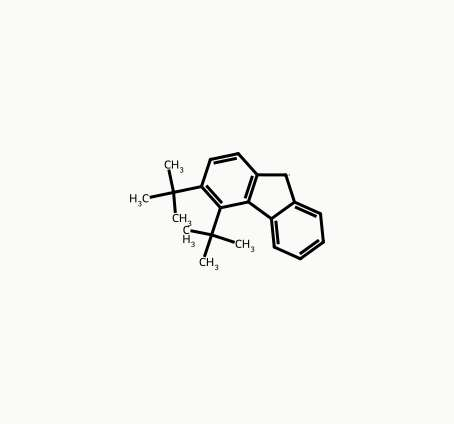 CC(C)(C)c1ccc2c(c1C(C)(C)C)-c1ccccc1[CH]2